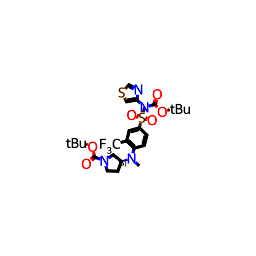 CN(c1ccc(S(=O)(=O)N(C(=O)OC(C)(C)C)c2cscn2)cc1C(F)(F)F)[C@H]1CCN(C(=O)OC(C)(C)C)C1